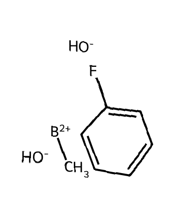 Fc1ccccc1.[B+2]C.[OH-].[OH-]